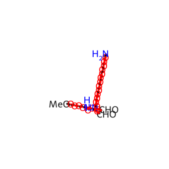 COCCOCCOCCOCCOCCNC(=O)CCOCC(COCCC=O)(COCCC=O)NC(=O)CCOCCOCCOCCOCCOCCOCCOCCOCCOCCOCCOCCOCCN